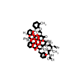 CCSSc1cccc(C)c1OC(=O)C[C@H](NC(=O)[C@H](Cc1ccccc1)NC(=O)[C@H](C(C)C)N(C)C(=O)[C@H](CC(C)C)N(C)C(=O)CNC(=O)[C@H](Cc1ccccc1)N(C)C(=O)[C@@H](NC(=O)[C@H](CC(C)C)N(C)C(=O)[C@@H](NC(=O)CC)C(C)C)[C@@H](C)O)C(=O)N(C)C(Cc1ccccc1)C(=O)N[C@@H](C)C(=O)N1CCCCC1